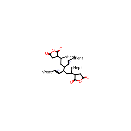 CCCCC/C=C/C(CC(CCCCCCC)C1CC(=O)OC1=O)C(/C=C/CCCCC)CC(CCCCCCC)C1CC(=O)OC1=O